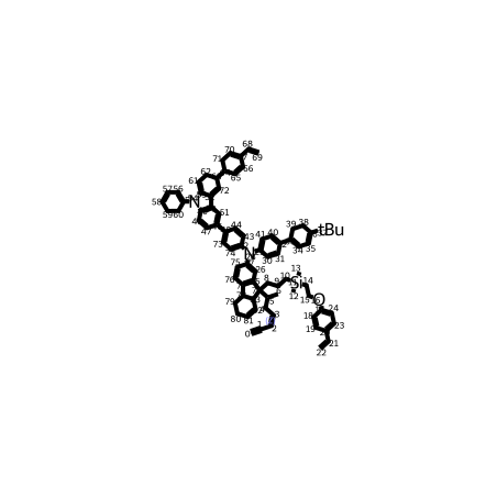 C#C/C=C\CC(C)C1(CCC[Si](C)(C)CCOc2ccc(C=C)cc2)c2cc(N(c3ccc(C4=CC=C(C(C)(C)C)CC4)cc3)c3ccc(-c4ccc5c(c4)c4c(n5C5=CC=CCC5)=CCC(C5C=CC(C=C)=CC5)C=4)cc3)ccc2C2CCC=CC21